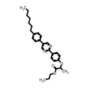 CCCCCCCc1ccc(-c2cnc(-c3ccc(OC(C)C(=O)OCCC)cc3)nc2)cc1